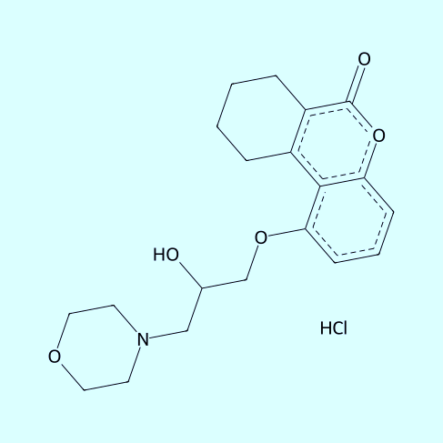 Cl.O=c1oc2cccc(OCC(O)CN3CCOCC3)c2c2c1CCCC2